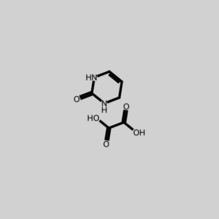 O=C(O)C(=O)O.O=C1NC=CCN1